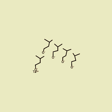 CC(C)CC[O-].CC(C)CC[O-].CC(C)CC[O-].CC(C)CC[O-].CC(C)CC[O-].[Ta+5]